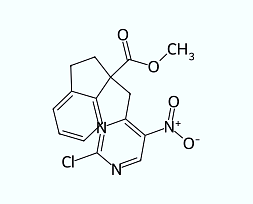 COC(=O)C1(Cc2nc(Cl)ncc2[N+](=O)[O-])CCc2ccccc21